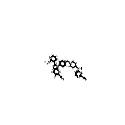 N#Cc1nccc(NC2CCN(Cc3ccc(-n4c(-c5cccnc5N)nc5cc(F)c(C#N)nc54)cc3)CC2)n1